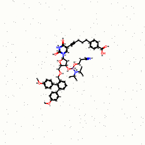 COc1ccc(-c2cccc(COCC3OC(n4cc(C#CCCCc5ccc(C(=O)O)cc5)c(=O)[nH]c4=O)CC3OP(OCCC#N)N(C(C)C)C(C)C)c2-c2ccc(OC)cc2)cc1